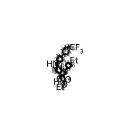 CCONC(=O)c1cn(-c2ccc(CC)cc2)c2nc(Nc3ccc(C4CCN(CC(F)(F)F)CC4)cc3)ncc2c1=O